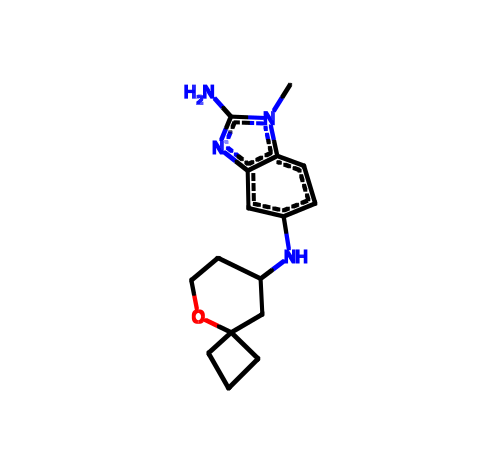 Cn1c(N)nc2cc(NC3CCOC4(CCC4)C3)ccc21